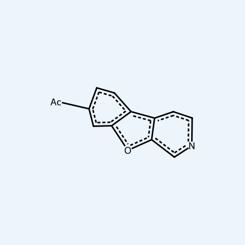 CC(=O)c1ccc2c(c1)oc1cnccc12